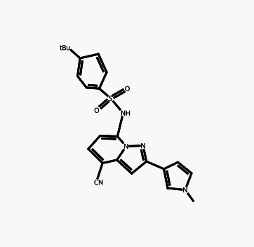 Cn1ccc(-c2cc3c(C#N)ccc(NS(=O)(=O)c4ccc(C(C)(C)C)cc4)n3n2)c1